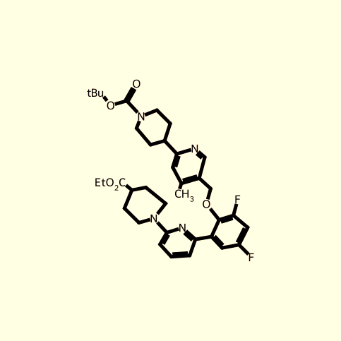 CCOC(=O)C1CCN(c2cccc(-c3cc(F)cc(F)c3OCc3cnc(C4CCN(C(=O)OC(C)(C)C)CC4)cc3C)n2)CC1